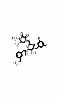 CCc1cccc(CNC[C@@H](O)[C@H](Cc2cc(F)cc(F)c2)NC(=O)CN2C[C@@H](C)N(C)C(=O)C2=O)c1